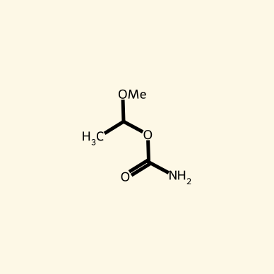 COC(C)OC(N)=O